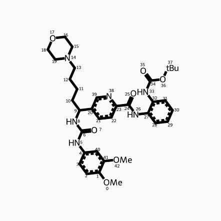 COc1ccc(NC(=O)NC(CCCCN2CCOCC2)c2ccc(C(=O)Nc3ccccc3NC(=O)OC(C)(C)C)nc2)cc1OC